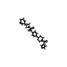 O=C(Nc1ccc(C2CCN(C(=O)c3ccsc3)CC2)cc1)N1CC(c2cccnc2)C1